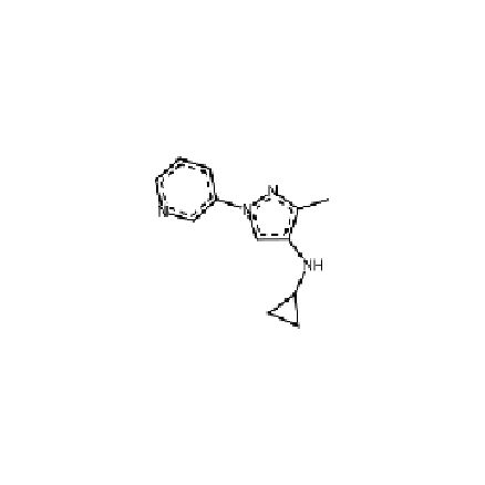 Cc1nn(-c2cccnc2)cc1NC1CC1